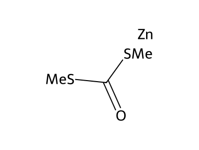 CSC(=O)SC.[Zn]